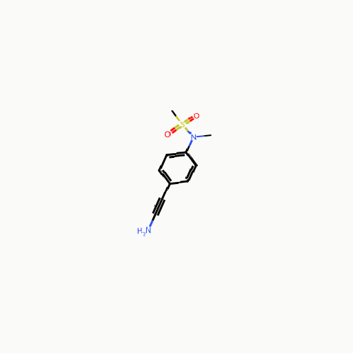 CN(c1ccc(C#CN)cc1)S(C)(=O)=O